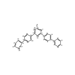 Cc1nc(-c2ccc(-c3ccccc3)cc2)nc(-c2ccc(-c3cccnc3)cc2)n1